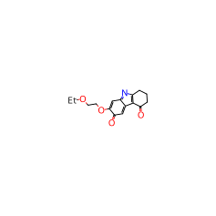 CCOCCOC1=CC2=NC3=C(C(=O)CCC3)C2=CC1=O